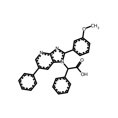 COc1cccc(-c2nc3ncc(-c4ccccc4)cc3n2C(C(=O)O)c2ccccc2)c1